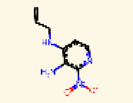 C=CCNc1ccnc([N+](=O)[O-])c1N